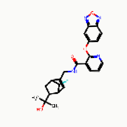 CC(C)(O)C1CC2C(CNC(=O)c3cccnc3Oc3ccc4nonc4c3)=CC1C2F